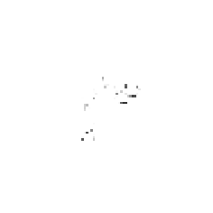 CC(C)(NC(=O)OCc1ccccc1)C(=O)O[C@H](Cc1cccc2ccccc12)C(=O)O